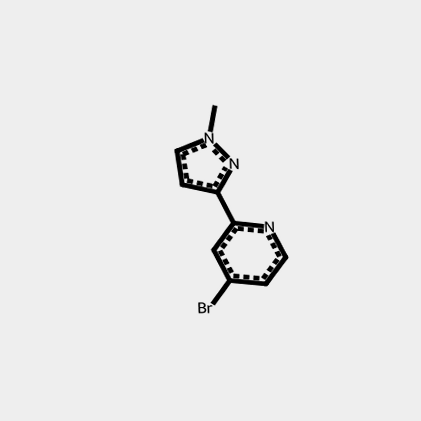 Cn1ccc(-c2cc(Br)ccn2)n1